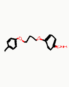 Cc1ccc(OCCCOc2ccc(O)cc2)cc1